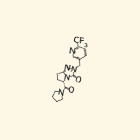 O=C(C1CCc2nn(Cc3ccc(C(F)(F)F)nc3)c(=O)n21)N1CCCC1